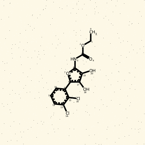 CCOC(=O)Nc1oc(-c2cccc(Cl)c2Cl)c(O)c1O